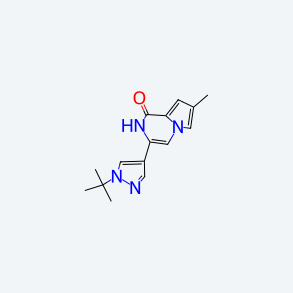 Cc1cc2c(=O)[nH]c(-c3cnn(C(C)(C)C)c3)cn2c1